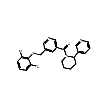 O=C(c1cncc(CSc2c(Cl)cccc2Cl)c1)N1CCCCC1c1cccnc1